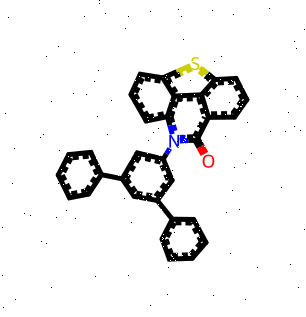 O=c1c2cccc3sc4cccc(c4c32)n1-c1cc(-c2ccccc2)cc(-c2ccccc2)c1